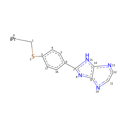 CC(C)CSc1ccc(-c2nc3nccnc3[nH]2)cc1